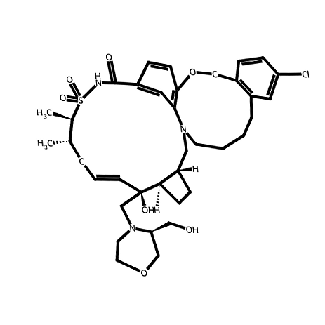 C[C@@H]1[C@@H](C)C/C=C/[C@@](O)(CN2CCOC[C@@H]2CO)[C@@H]2CC[C@H]2CN2CCCCc3cc(Cl)ccc3COc3ccc(cc32)C(=O)NS1(=O)=O